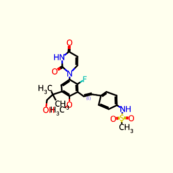 COc1c(C(C)(C)CO)cc(-n2ccc(=O)[nH]c2=O)c(F)c1/C=C/c1ccc(NS(C)(=O)=O)cc1